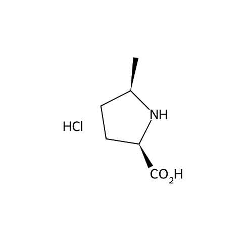 C[C@@H]1CC[C@H](C(=O)O)N1.Cl